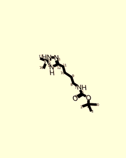 CC(C)(C)OC(=O)NCCCCC1=NN[N+](C)(C)N1